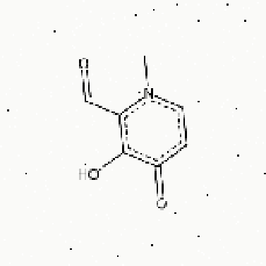 Cn1ccc(=O)c(O)c1C=O